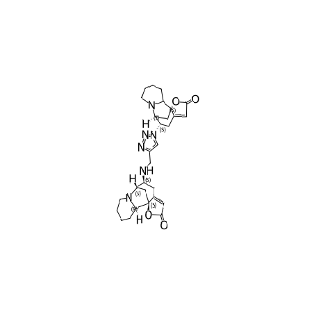 O=C1C=C2C[C@H](n3cc(CN[C@H]4CC5=CC(=O)O[C@@]56C[C@@H]4N4CCCC[C@@H]46)nn3)[C@@H]3C[C@@]2(O1)C1CCCCN13